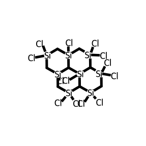 Cl[Si]1(Cl)C[Si]2(Cl)C[Si](Cl)(Cl)C3[Si](Cl)(Cl)C[Si](Cl)(Cl)C4[Si](Cl)(Cl)C[Si](Cl)(C1)C2[Si]34Cl